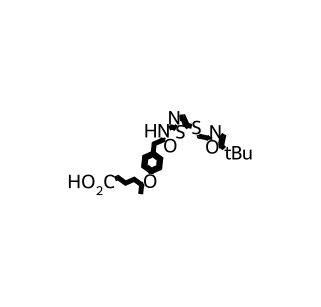 CC(CCCC(=O)O)Oc1ccc(CC(=O)Nc2ncc(SCc3ncc(C(C)(C)C)o3)s2)cc1